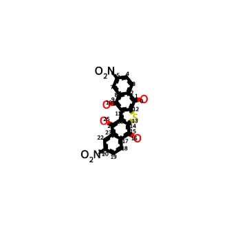 O=c1c2ccc([N+](=O)[O-])cc2c(=O)c2c1sc1c(=O)c3ccc([N+](=O)[O-])cc3c(=O)c12